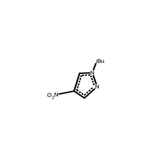 CCC(C)n1cc([N+](=O)[O-])cn1